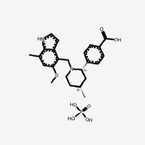 COc1cc(C)c2[nH]ccc2c1CN1CC[C@@H](C)C[C@H]1c1ccc(C(=O)O)cc1.O=P(O)(O)O